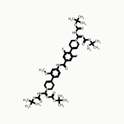 COc1cc(NC(=O)c2cc(F)c(C3=CCN(/C(=N\C(=O)OC(C)(C)C)NC(=O)OC(C)(C)C)CC3)c(F)c2)ccc1C1=CCN(/C(=N\C(=O)OC(C)(C)C)NC(=O)OC(C)(C)C)CC1